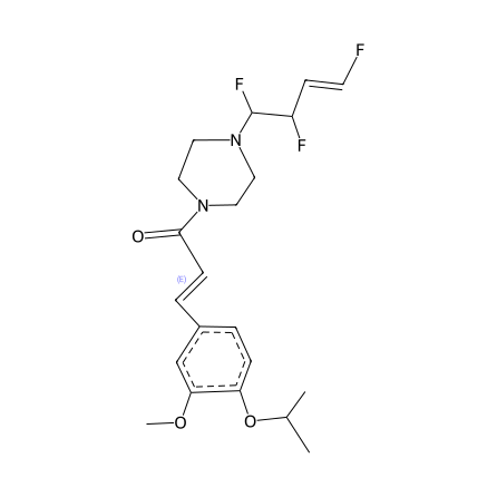 COc1cc(/C=C/C(=O)N2CCN(C(F)C(F)C=CF)CC2)ccc1OC(C)C